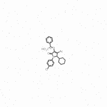 CC(=O)C1=C(O[C@@H](C(=O)O)c2ccccc2)C(=O)N(c2ccc(Cl)cc2)C1C1CCCCC1